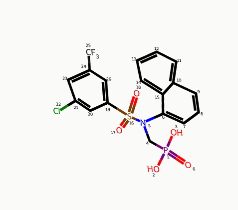 O=P(O)(O)CN(c1cccc2ccccc12)S(=O)(=O)c1cc(Cl)cc(C(F)(F)F)c1